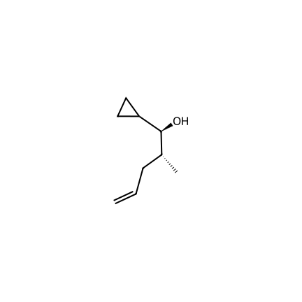 C=CC[C@@H](C)[C@H](O)C1CC1